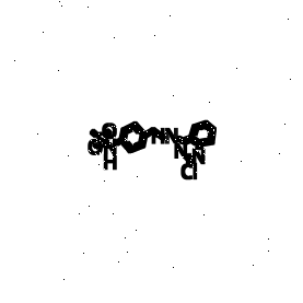 CS(=O)(=O)Nc1ccc(CCNc2nc(Cl)nc3ccccc23)cc1